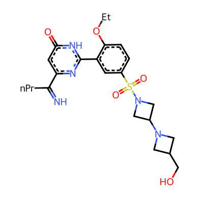 CCCC(=N)c1cc(=O)[nH]c(-c2cc(S(=O)(=O)N3CC(N4CC(CO)C4)C3)ccc2OCC)n1